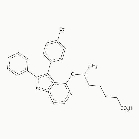 CCc1ccc(-c2c(-c3ccccc3)sc3ncnc(O[C@H](C)CCCCC(=O)O)c23)cc1